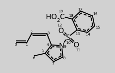 C=C/C=C\c1c(C)ccn1S(=O)(=O)c1ccccc1C(=O)O